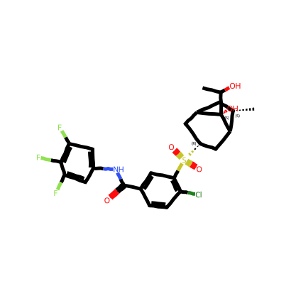 CC(O)[C@]1(O)C2C[C@@H](S(=O)(=O)c3cc(C(=O)Nc4cc(F)c(F)c(F)c4)ccc3Cl)CC1[C@@H](C)C2